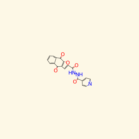 O=C(NNC(=O)c1cc2c(o1)C(=O)c1ccccc1C2=O)c1ccncc1